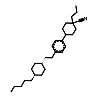 CCCCC[C@H]1CC[C@H](CCc2ccc(C3CCC(C#N)(CCC)CC3)cc2)CC1